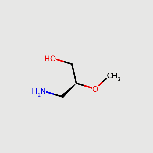 CO[C@@H](CN)CO